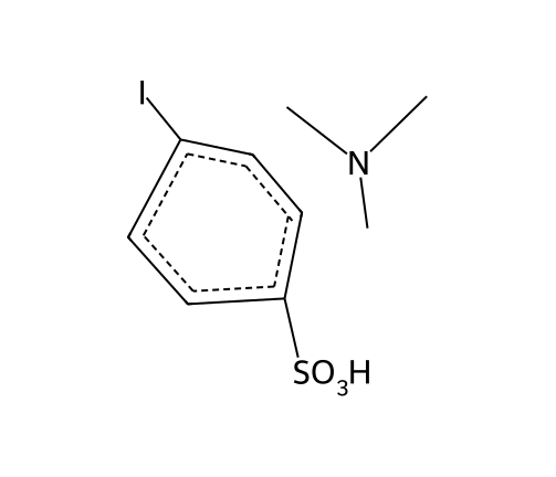 CN(C)C.O=S(=O)(O)c1ccc(I)cc1